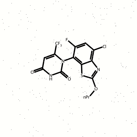 CCCOc1nc2c(Cl)cc(F)c(-n3c(C(F)(F)F)cc(=O)[nH]c3=O)c2s1